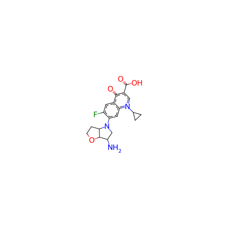 NC1CN(c2cc3c(cc2F)c(=O)c(C(=O)O)cn3C2CC2)C2CCOC12